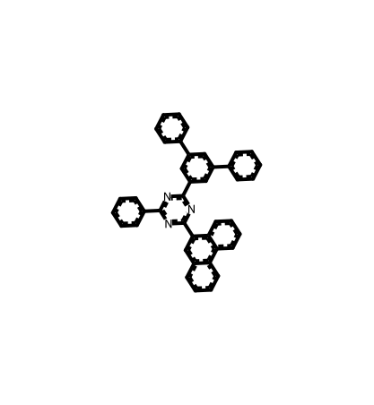 c1ccc(-c2cc(-c3ccccc3)cc(-c3nc(-c4ccccc4)nc(-c4cc5ccccc5c5ccccc45)n3)c2)cc1